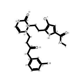 COC(=O)c1cc(Cl)c(CCN2C(=O)SC=CN2CCC(=O)Cc2cccc(I)c2)s1